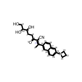 C/C(=C(/C#N)C(=O)CCC(O)C(O)CO)c1ccc2cc(N3CCC3)ccc2c1